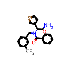 NC(=O)[C@@H](c1ccsc1)N(Cc1cccc(C(F)(F)F)c1)C(=O)c1ccccc1